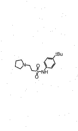 CC(C)(C)c1ccc(NS(=O)(=O)CCN2CCCC2)cc1